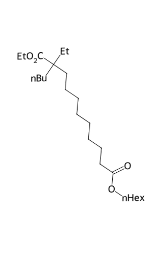 CCCCCCOC(=O)CCCCCCCCC(CC)(CCCC)C(=O)OCC